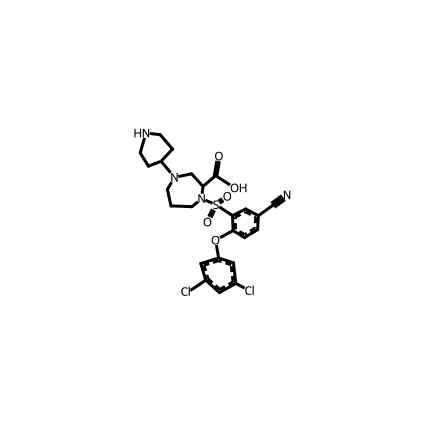 N#Cc1ccc(Oc2cc(Cl)cc(Cl)c2)c(S(=O)(=O)N2CCCN(C3CCNCC3)CC2C(=O)O)c1